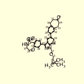 C[Si](C)(C)CCOCn1nc(-c2ccc3c(c2)OCCNS3(=O)=O)c2cc(-c3ccc4c(c3)CCC(=O)CC4)cnc21